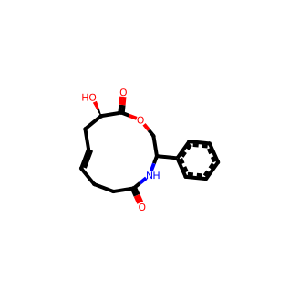 O=C1CC/C=C/C[C@@H](O)C(=O)OCC(c2ccccc2)N1